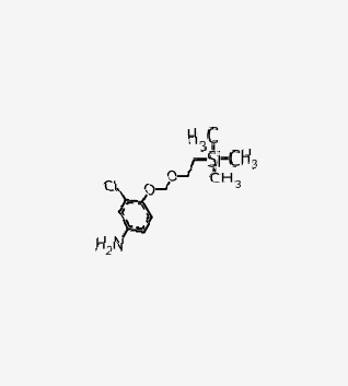 C[Si](C)(C)CCOCOc1ccc(N)cc1Cl